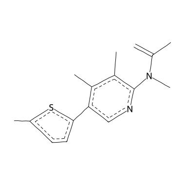 C=C(C)N(C)c1ncc(-c2ccc(C)s2)c(C)c1C